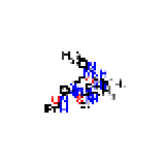 CCn1nc(C)cc1C(=O)Nc1nc2cc(C)ccc2n1CCCCn1c(NC(=O)c2cc(C)nn2CC)nc2c(NC(=O)CC(C)C)cccc21